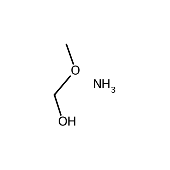 COCO.N